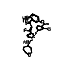 CC(Oc1ccc2[nH]nc(/C=C(\F)c3ccc(CNC4CCOCC4)nc3)c2c1)c1ccc(F)cc1Cl